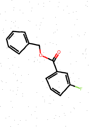 O=C(OCc1ccccc1)c1cccc(F)c1